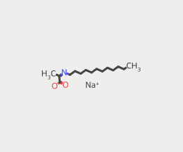 CCCCCCCCCCCCN=C(C)C(=O)[O-].[Na+]